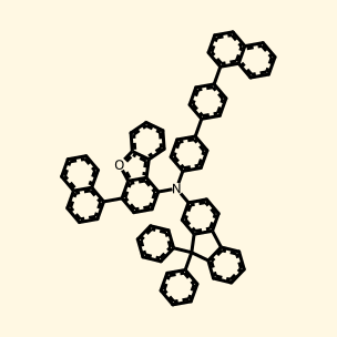 c1ccc(C2(c3ccccc3)c3ccccc3-c3ccc(N(c4ccc(-c5ccc(-c6cccc7ccccc67)cc5)cc4)c4ccc(-c5cccc6ccccc56)c5oc6ccccc6c45)cc32)cc1